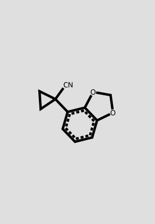 N#CC1(c2cccc3c2OCO3)CC1